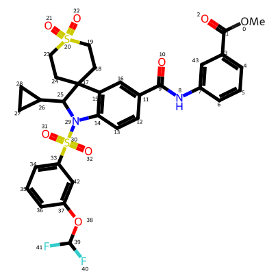 COC(=O)c1cccc(NC(=O)c2ccc3c(c2)C2(CCS(=O)(=O)CC2)C(C2CC2)N3S(=O)(=O)c2cccc(OC(F)F)c2)c1